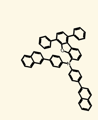 c1ccc(-c2ccc(-c3ccccc3)c3c2oc2c(N(c4ccc(-c5ccc6ccccc6c5)cc4)c4ccc(-c5ccc6ccccc6c5)cc4)cccc23)cc1